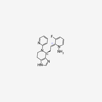 NN1C=CC=C(F)/C1=C/C[C@H]1c2nc[nH]c2CCN1c1ccccn1